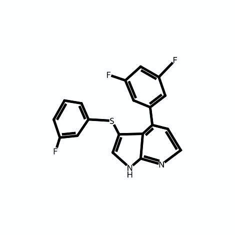 Fc1cccc(Sc2c[nH]c3nccc(-c4cc(F)cc(F)c4)c23)c1